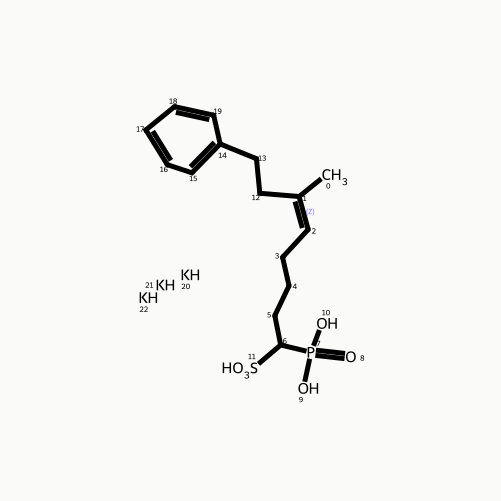 C/C(=C/CCCC(P(=O)(O)O)S(=O)(=O)O)CCc1ccccc1.[KH].[KH].[KH]